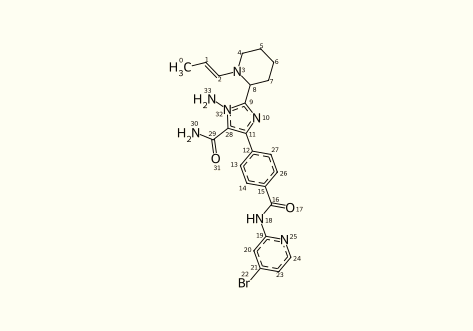 CC=CN1CCCCC1c1nc(-c2ccc(C(=O)Nc3cc(Br)ccn3)cc2)c(C(N)=O)n1N